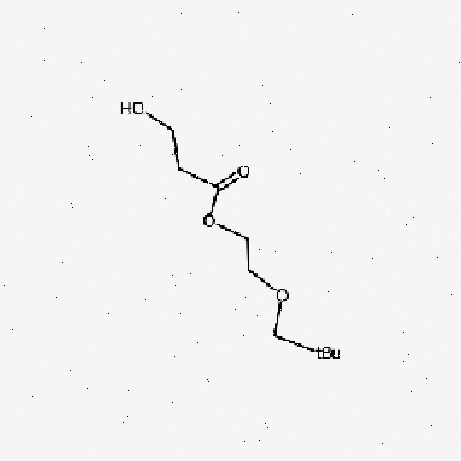 CC(C)(C)COCCOC(=O)CCO